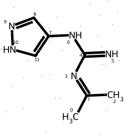 CC(C)=NC(=N)Nc1cn[nH]c1